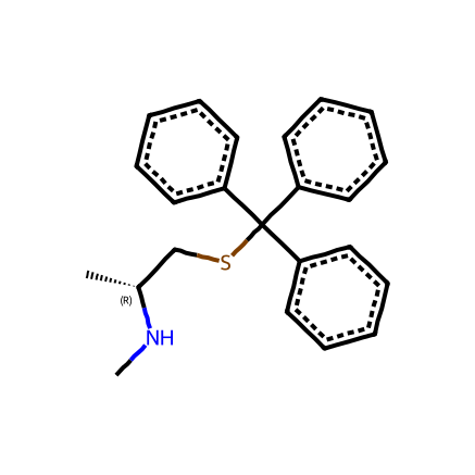 CN[C@H](C)CSC(c1ccccc1)(c1ccccc1)c1ccccc1